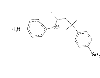 CC(CC(C)(C)c1ccc(N)cc1)Nc1ccc(N)cc1